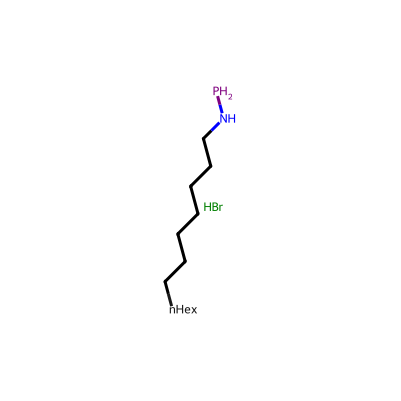 Br.CCCCCCCCCCCCCNP